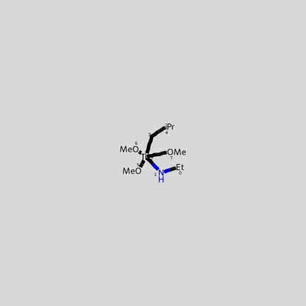 CC[NH][Ti]([CH2]C(C)C)([O]C)([O]C)[O]C